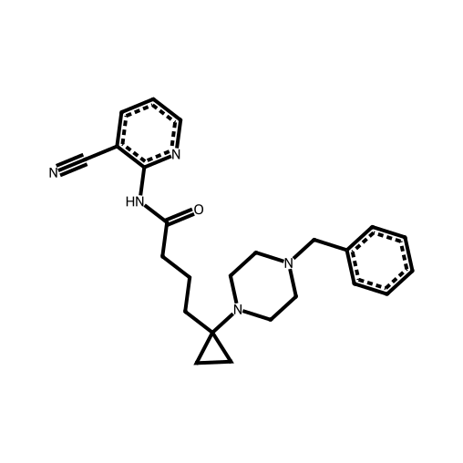 N#Cc1cccnc1NC(=O)CCCC1(N2CCN(Cc3ccccc3)CC2)CC1